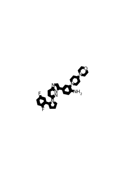 Nc1ccc(-c2cnc3ccc(N4CCCC4c4cc(F)ccc4F)nn23)cc1N1CCC(N2CCOCC2)CC1